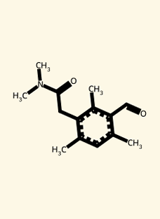 Cc1cc(C)c(CC(=O)N(C)C)c(C)c1C=O